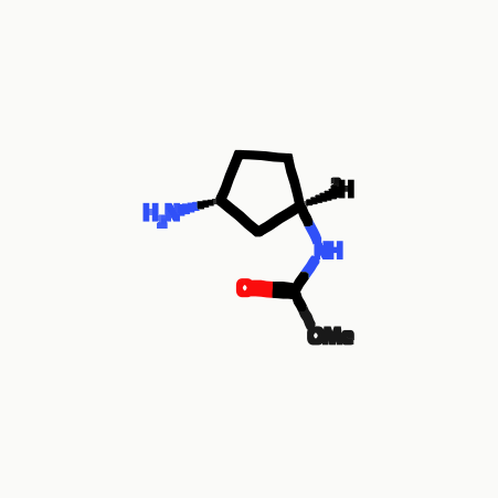 [2H][C@@]1(NC(=O)OC)CC[C@@H](N)C1